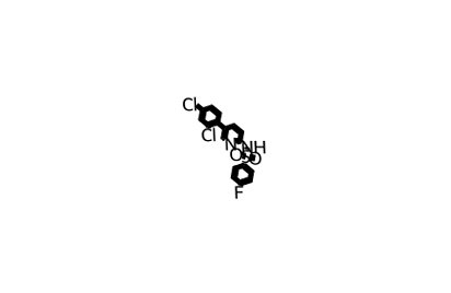 O=S(=O)(Nc1ccc(-c2ccc(Cl)cc2Cl)cn1)c1ccc(F)cc1